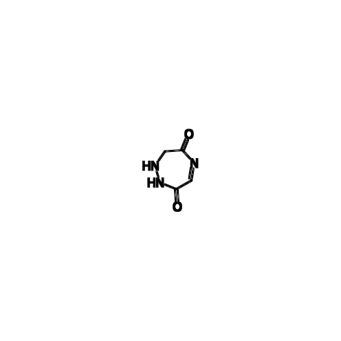 O=C1CNNC(=O)C=N1